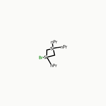 CCC[Si]1(Br)C[Si](CCC)(CCC)C1